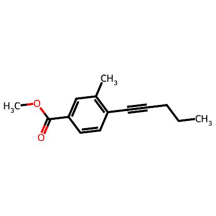 CCCC#Cc1ccc(C(=O)OC)cc1C